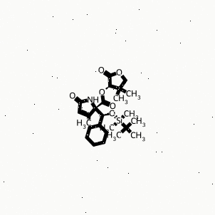 CC1=CC(=O)N[C@]1(C(=O)O[C@@H]1C(=O)OCC1(C)C)[C@@H](O[Si](C)(C)C(C)(C)C)C1CCCCC1